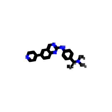 C[C@H](c1ccc(Nc2ncc3cc(-c4ccncc4)ccc3n2)cc1)N(C)C